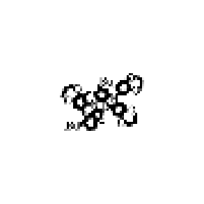 Cc1cc2c(c(C)c1N1c3cc(C(C)(C)C)cc4c3B(c3cc5c(cc3N4c3ccc4c(c3)OCCCO4)OCCCO5)c3sc4ccc(C(C)(C)C)cc4c31)OCCCO2